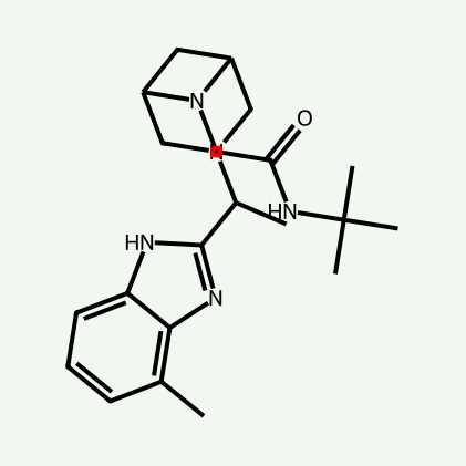 Cc1cccc2[nH]c(C(C)N3CC4CC(C3)N4CC(=O)NC(C)(C)C)nc12